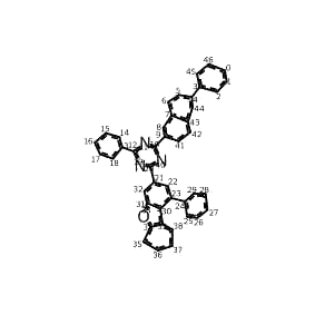 c1ccc(-c2ccc3cc(-c4nc(-c5ccccc5)nc(-c5cc(-c6ccccc6)c6c(c5)oc5ccccc56)n4)ccc3c2)cc1